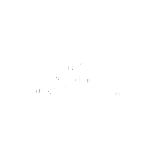 CCCN1CCCC12CCN(C(C)C(=O)N[C@@H](Cc1ccccc1)[C@H](O)CNCc1cccc(C(C)C)c1)C2=O